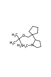 CN1CCCC1C1(COC(C)(C)C)CCCC1